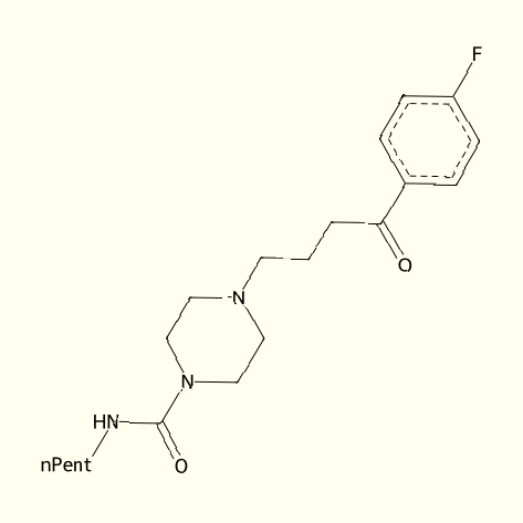 CCCCCNC(=O)N1CCN(CCCC(=O)c2ccc(F)cc2)CC1